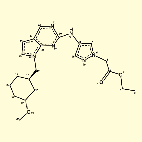 CCOC(=O)Cn1cc(Nc2ncc3ccn(C[C@@H]4CCC[C@@H](OC)C4)c3n2)cn1